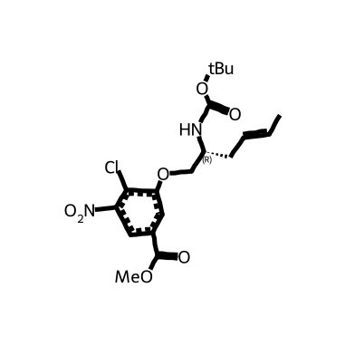 CC=CC[C@H](COc1cc(C(=O)OC)cc([N+](=O)[O-])c1Cl)NC(=O)OC(C)(C)C